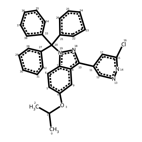 CC(C)Oc1ccc2c(c1)c(-c1cnnc(Cl)c1)nn2C(c1ccccc1)(c1ccccc1)c1ccccc1